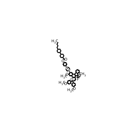 CCCCCC1CCC(C2CCC(C(=O)Oc3ccc(N4CCN(c5cc6c7c(c8c(c6cc5OC)OC(c5ccc(OC)cc5)(c5ccc(OC)cc5)C=C8)C(OC)(C(F)(F)F)c5ccccc5-7)CC4)cc3)CC2)CC1